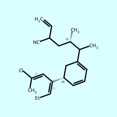 C=CC(C#N)C[C@H](C)C(C)C1=CC=C[C@H](C(=C/CC)/C=C(\C)Cl)C1